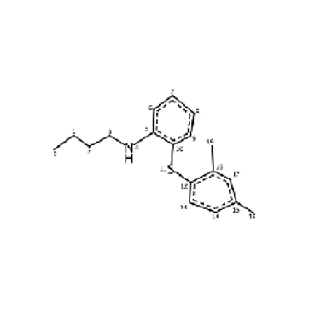 CCCCNc1ccccc1Sc1ccc(C)cc1C